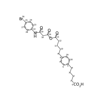 O=C(O)CCCCc1ccc(CCCCC(=O)OC(=O)CC(=O)Nc2ccc(Br)cc2)cc1